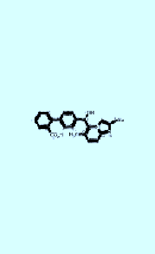 CCCCc1cn2c([C@H](O)c3ccc(-c4ccccc4C(=O)O)cc3)c(C)ccc2n1